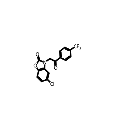 O=C(Cn1c(=O)oc2ccc(Cl)cc21)c1ccc(C(F)(F)F)cc1